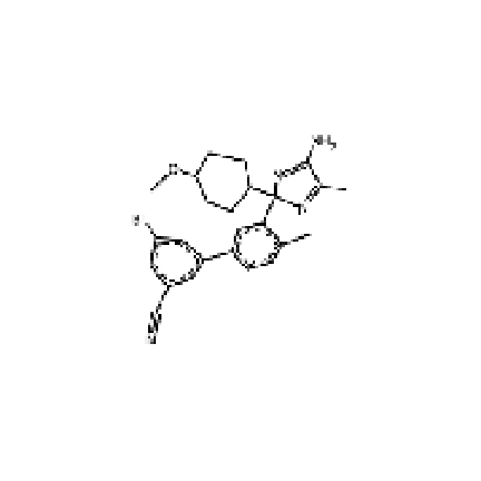 COC1CCC(C2(c3cc(-c4cc(Br)cc(C#N)c4)ccc3C)N=C(C)C(N)=N2)CC1